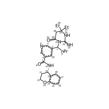 CCCC(c1cncc(C(=O)N[C@H]2CCOc3ccccc32)c1)N1C(=N)NC(CC)(CC)CC1=O